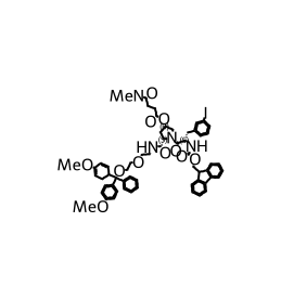 CNC(=O)CCC(=O)O[C@@H]1C[C@@H](C(=O)NCCOCCOC(c2ccccc2)(c2ccc(OC)cc2)C2C=CC(OC)=CC2)N(C(=O)[C@H](Cc2cccc(I)c2)NC(=O)OCC2c3ccccc3-c3ccccc32)C1